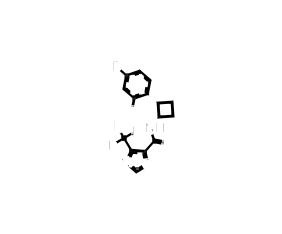 O=C(N[C@H]1CC[C@H]1c1ccc(F)cc1F)c1scnc1C(F)(F)F